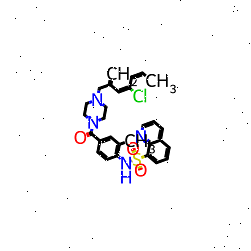 C=C(/C=C(Cl)\C=C/C)CN1CCN(C(=O)c2ccc(NS(=O)(=O)c3cccc4cccnc34)c(C)c2)CC1